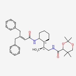 CC1(C)OCC(C)(C)C(C(=O)NC[C@@H](C(=O)O)[C@@H]2CCCCC2NC(=O)C=C(Cc2ccccc2)Cc2ccccc2)O1